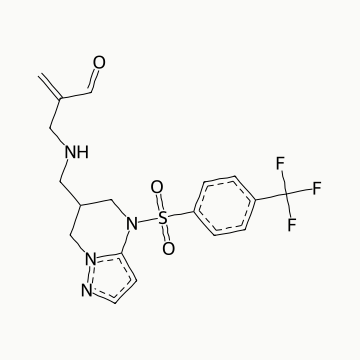 C=C(C=O)CNCC1CN(S(=O)(=O)c2ccc(C(F)(F)F)cc2)c2ccnn2C1